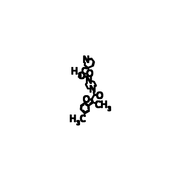 Cc1ccc2oc(C(=O)N3CCN(C(=O)OC4(C)C=CC=NC4)CC3)c(C)c2c1